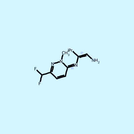 CC(C)C(=C/N)/N=c1/ccc(C(F)F)nn1C